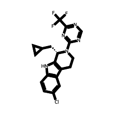 FC(F)(F)c1ncnc(N2CCc3c([nH]c4ccc(Cl)cc34)[C@@H]2CC2CC2)n1